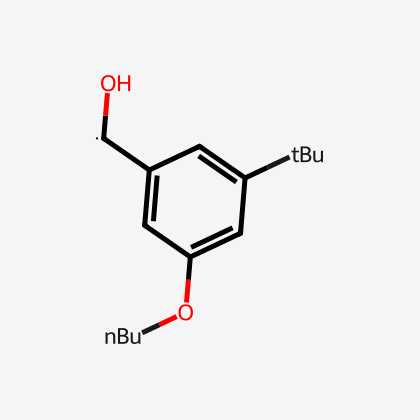 CCCCOc1cc([CH]O)cc(C(C)(C)C)c1